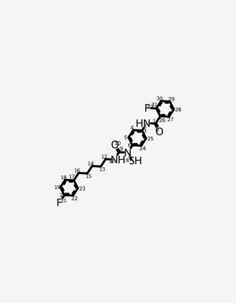 O=C(Nc1ccc(N(S)C(=O)NCCCCCc2ccc(F)cc2)cc1)c1ccccc1F